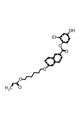 C=CC(=O)OCCCCCCOc1ccc2cc(C(=O)Oc3ccc(O)cc3CC)ccc2c1